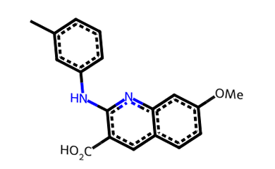 COc1ccc2cc(C(=O)O)c(Nc3cccc(C)c3)nc2c1